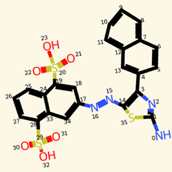 Nc1nc(-c2ccc3ccccc3c2)c(/N=N/c2cc(S(=O)(=O)O)c3cccc(S(=O)(=O)O)c3c2)s1